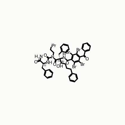 CC(C)CCN(C(=O)N[C@@H](Cc1ccccc1)C(N)=O)C(=O)[C@@](Cc1ccccc1)(NC(=O)c1c(Br)c(Br)c(C(=O)c2ccccc2)c(Br)c1Br)[C@H](O)CCCc1ccccc1